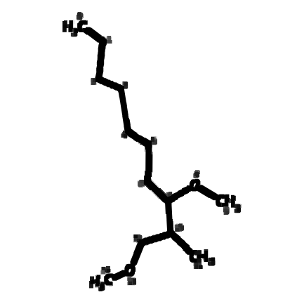 CCCCCCCC(OC)C(C)COC